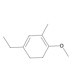 CCC1=CC(C)=C(OC)CC1